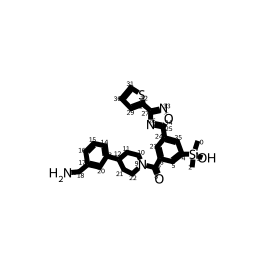 C[Si](C)(O)c1cc(C(=O)N2CCC(c3cccc(CN)c3)CC2)cc(-c2nc(-c3cccs3)no2)c1